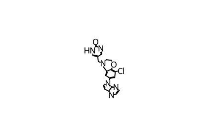 O=c1ncc(CN2CCOc3c(Cl)cc(-n4ccc5nccnc54)cc3C2)c[nH]1